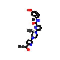 COC(=O)c1ccc(N2CCN(c3cccc(C(=O)N[C@H]4C5CC6CC4C[C@](O)(C6)C5)n3)[C@H](C)C2)cn1